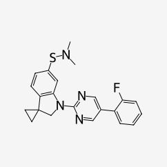 CN(C)Sc1ccc2c(c1)N(c1ncc(-c3ccccc3F)cn1)CC21CC1